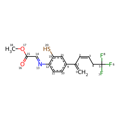 C=C(/C=C\CC(F)(F)F)c1ccc(/N=C/C(=O)OC)c(S)c1